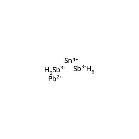 [Pb+2].[SbH6-3].[SbH6-3].[Sn+4]